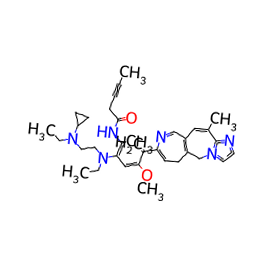 C=C(C1=CCC2=C(C=N1)C=C(C)c1nccn1C2)/C(=C\C(=C(/C)NC(=O)CC#CC)N(CC)CCN(CC)C1CC1)OC